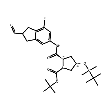 CC(C)(C)OC(=O)N1C[C@@H](O[Si](C)(C)C(C)(C)C)C[C@@H]1C(=O)Nc1cc(F)c2c(c1)CC(C=O)C2